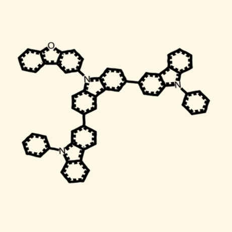 c1ccc(-n2c3ccccc3c3cc(-c4ccc5c(c4)c4cc(-c6ccc7c8ccccc8n(-c8ccccc8)c7c6)ccc4n5-c4ccc5oc6ccccc6c5c4)ccc32)cc1